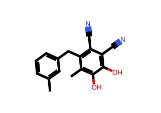 Cc1cccc(Cc2c(C)c(O)c(O)c(C#N)c2C#N)c1